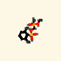 CCc1cccc(C(F)(F)F)c1S(=O)(=O)OCP(=O)(CC)OC(C)C